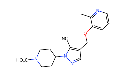 Cc1ncccc1OCc1cnn(C2CCN(C(=O)O)CC2)c1C#N